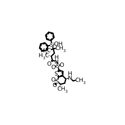 CCN[C@H]1C[C@H](C)S(=O)(=O)c2sc(S(=O)(=O)NC(=O)[C@H](C)CC(C)(C)[Si](O)(c3ccccc3)c3ccccc3)cc21